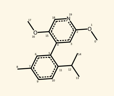 COc1cc(-c2cc(C)ccc2C(C)C)c(OC)cn1